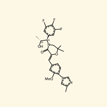 COc1cc(C=C2OC(C)(C)CN([C@H](c3cc(F)c(F)c(F)c3)[C@@H](C)O)C2=O)ccc1-n1cnc(C)c1